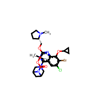 CN1CCC[C@H]1COc1nc(N2CC3CC(C2)N3C(=O)OC(C)(C)C)c2cc(Cl)c(Br)c(OC3CC3)c2n1